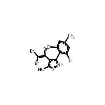 N#Cc1n[nH]c(-c2c(Cl)cc(C(F)(F)F)cc2Cl)c1C(Br)=C(Br)Br